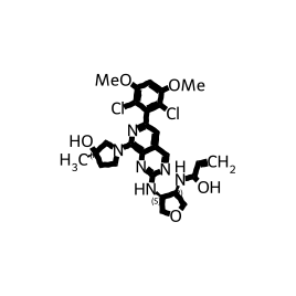 C=CC(O)N[C@H]1COC[C@H]1Nc1ncc2cc(-c3c(Cl)c(OC)cc(OC)c3Cl)nc(N3CC[C@@](C)(O)C3)c2n1